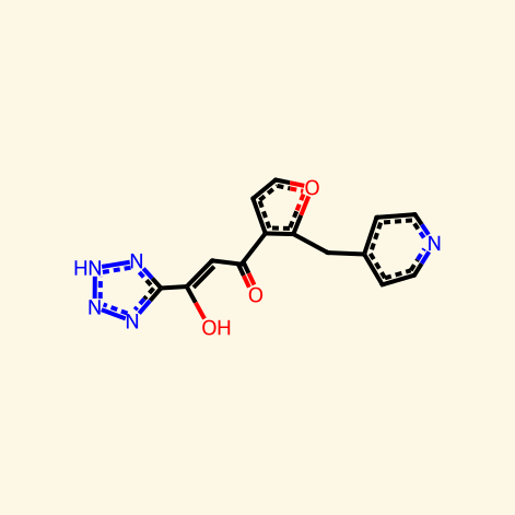 O=C(C=C(O)c1nn[nH]n1)c1ccoc1Cc1ccncc1